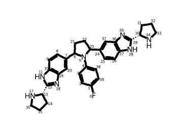 Fc1ccc(N2C(c3ccc4[nH]c([C@@H]5CCCN5)nc4c3)CCC2c2ccc3[nH]c([C@@H]4CCCN4)nc3c2)cc1